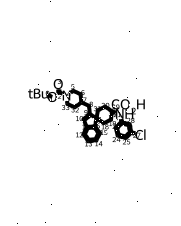 CC(C)(C)OC(=O)N1CCC(CC2=Cc3ccccc3C23CCC(Nc2cccc(Cl)c2)(C(=O)O)CC3)CC1